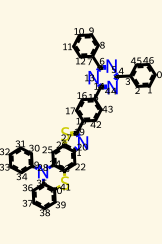 c1ccc(-c2nc(-c3ccccc3)nc(-c3ccc(-c4nc5cc6c(cc5s4)N(c4ccccc4)c4ccccc4S6)cc3)n2)cc1